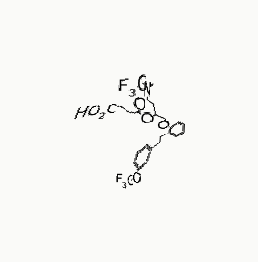 CN(CCC(COc1ccccc1CCc1cccc(OC(F)(F)F)c1)OC(=O)CCC(=O)O)C(F)(F)F